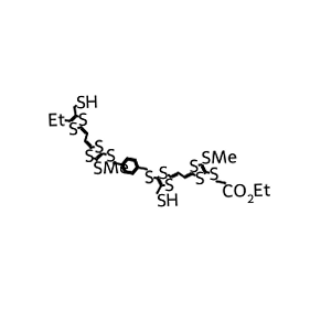 CCOC(=O)CCSC1=C(SC)SC(=CC=C2SC(CS)=C(SCc3ccc(CSC4=C(SC)SC(=CC=C5SC(CC)=C(CS)S5)S4)cc3)S2)S1